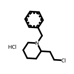 Cl.ClCCC1CCCCN1Cc1ccccc1